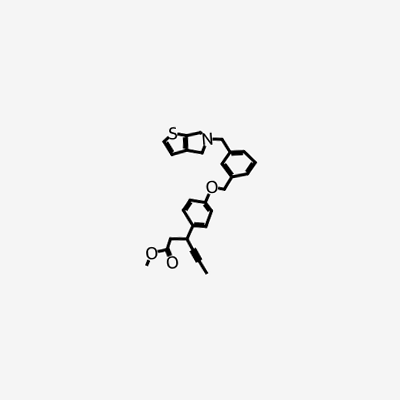 CC#CC(CC(=O)OC)c1ccc(OCc2cccc(CN3Cc4ccsc4C3)c2)cc1